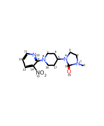 CN1CCN(C2CCN(c3ncccc3[N+](=O)[O-])CC2)C1=O